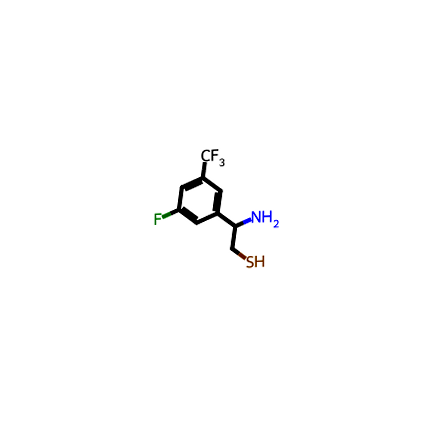 NC(CS)c1cc(F)cc(C(F)(F)F)c1